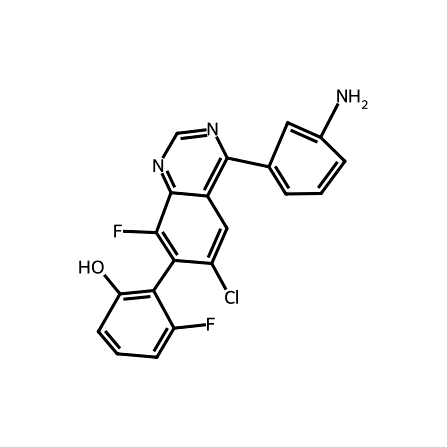 Nc1cccc(-c2ncnc3c(F)c(-c4c(O)cccc4F)c(Cl)cc23)c1